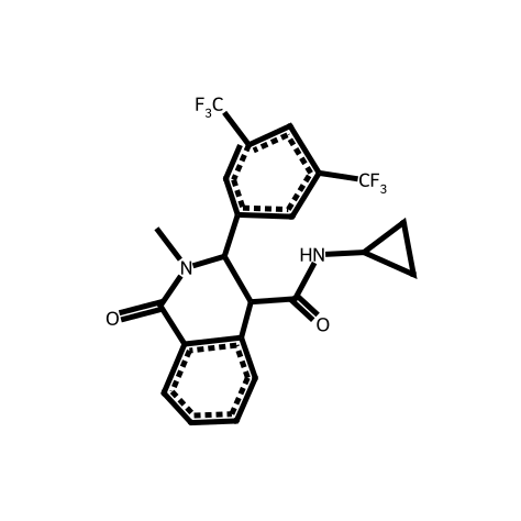 CN1C(=O)c2ccccc2C(C(=O)NC2CC2)C1c1cc(C(F)(F)F)cc(C(F)(F)F)c1